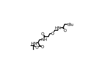 CC(C)(C)CC(=O)NCCOCCC(=O)NCC1NC(C)(C)OC1=O